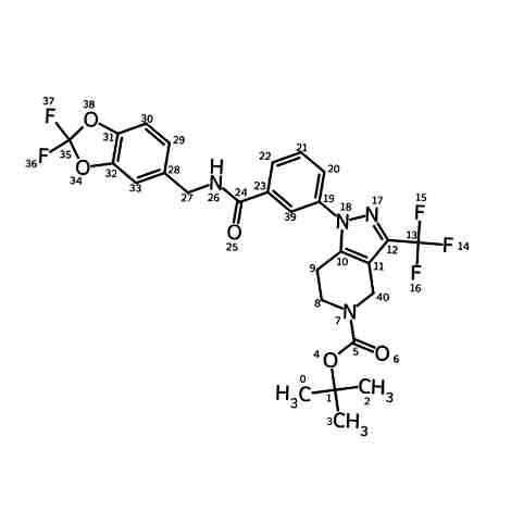 CC(C)(C)OC(=O)N1CCc2c(c(C(F)(F)F)nn2-c2cccc(C(=O)NCc3ccc4c(c3)OC(F)(F)O4)c2)C1